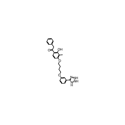 Cc1c(OCCCCOc2cccc(C3=NNNN3)c2)ccc(C(=O)Cc2ccccc2)c1O